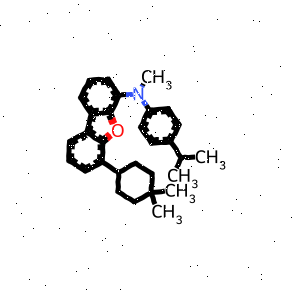 CC(C)c1ccc(N(C)c2cccc3c2oc2c(C4CCC(C)(C)CC4)cccc23)cc1